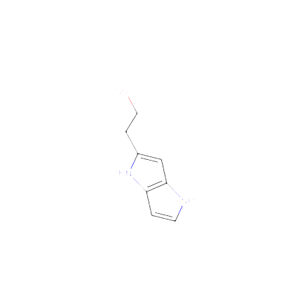 OCCc1cc2[nH]ccc2[nH]1